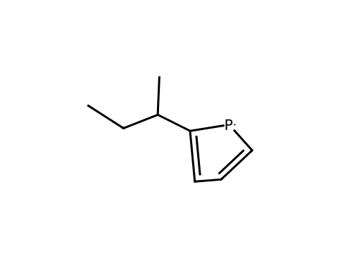 CCC(C)C1=CC=C[P]1